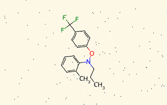 CCCN(Oc1ccc(C(F)(F)F)cc1)c1ccccc1C